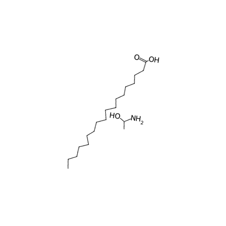 CC(N)O.CCCCCCCCCCCCCCCCCC(=O)O